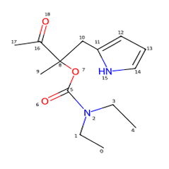 CCN(CC)C(=O)OC(C)(Cc1ccc[nH]1)C(C)=O